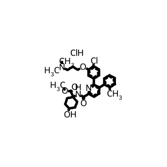 COC(=O)C1(NC(=O)c2ccc(-c3ccccc3C)c(-c3ccc(Cl)c(OCCCN(C)C)c3)n2)CCC(O)CC1.Cl